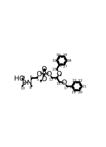 COP(=O)(OCCN(C)B(C)O)OCC(COCc1ccccc1)OCc1ccccc1